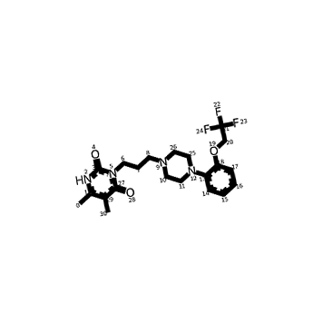 Cc1[nH]c(=O)n(CCCN2CCN(c3ccccc3OCC(F)(F)F)CC2)c(=O)c1C